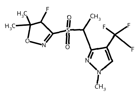 CC(c1nn(C)cc1C(F)(F)F)S(=O)(=O)C1=NOC(C)(C)C1F